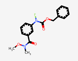 CON(C)C(=O)c1cccc(N(F)C(=O)OCc2ccccc2)c1